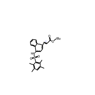 Cc1cc(C)c(C)c(S(=O)(=O)Nc2ccc(/C=C/C(=O)OC(C)(C)C)c3ccccc23)c1C